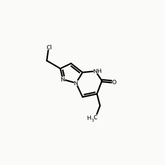 CCc1cn2nc(CCl)cc2[nH]c1=O